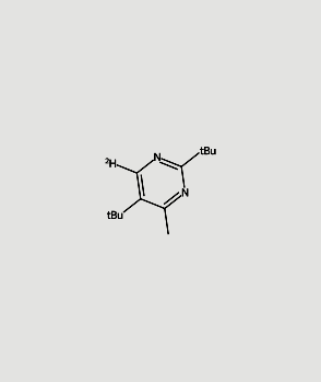 [2H]c1nc(C(C)(C)C)nc(C)c1C(C)(C)C